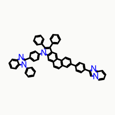 c1ccc(-c2c(-c3ccccc3)n(-c3ccc(-c4nc5ccccc5n4-c4ccccc4)cc3)c3cc4ccc5cc(-c6ccc(-c7cn8ccccc8n7)cc6)ccc5c4cc23)cc1